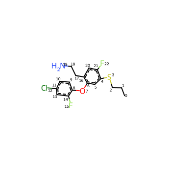 CCCSc1cc(Oc2ccc(Cl)cc2F)c(CCN)cc1F